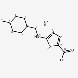 CN1CCC(CNc2ncc(C(=O)[O-])s2)CC1.[Li+]